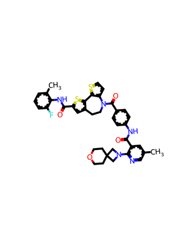 Cc1cnc(N2CC3(CCOCC3)C2)c(C(=O)Nc2ccc(C(=O)N3CCc4cc(C(=O)Nc5c(C)cccc5F)sc4-c4sccc43)cc2)c1